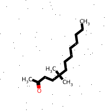 CCCCCCCCC(C)(C)CCC(C)=O